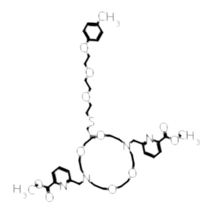 COC(=O)c1cccc(CN2CCOCCOCCN(Cc3cccc(C(=O)OC)n3)CCO[C@H](CSCCOCCOCCOc3ccc(C)cc3)COCC2)n1